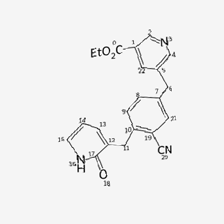 CCOC(=O)c1cncc(Cc2ccc(Cc3ccc[nH]c3=O)c(C#N)c2)c1